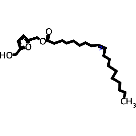 CCCCCCCCC/C=C\CCCCCCCC(=O)OCc1ccc(CO)o1